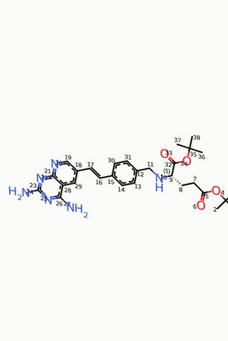 CC(C)(C)OC(=O)CC[C@H](NCc1ccc(C=Cc2cnc3nc(N)nc(N)c3c2)cc1)C(=O)OC(C)(C)C